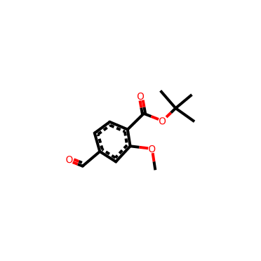 COc1cc(C=O)ccc1C(=O)OC(C)(C)C